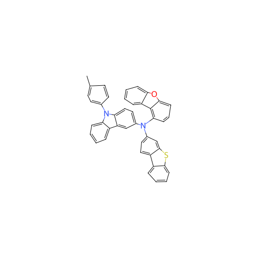 Cc1ccc(-n2c3ccccc3c3cc(N(c4ccc5c(c4)sc4ccccc45)c4cccc5oc6ccccc6c45)ccc32)cc1